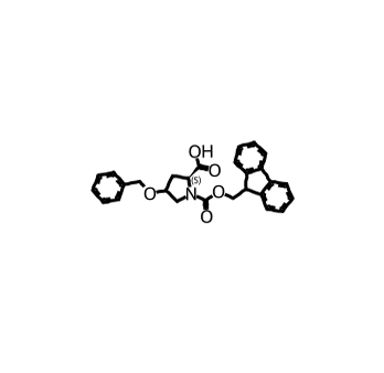 O=C(O)[C@@H]1CC(OCc2ccccc2)CN1C(=O)OCC1c2ccccc2-c2ccccc21